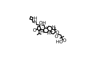 CC(C)C1=C2[C@H]3CC[C@@H]4[C@@]5(C)CC[C@H](OC(=O)CC(C)(C)C(=O)O)C(C)(C)[C@@H]5CC[C@@]4(C)[C@]3(C)CC[C@@]2([C@@H](O)CNCC2CCC2)CC1=O